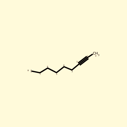 CC#CCCCCCI